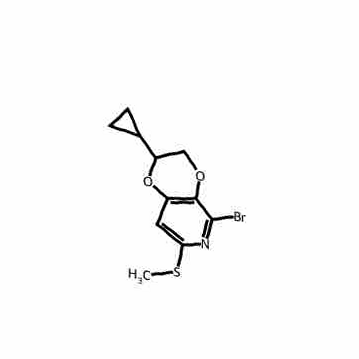 CSc1cc2c(c(Br)n1)OCC(C1CC1)O2